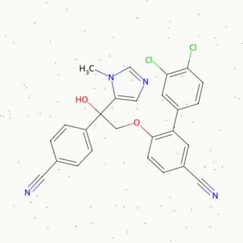 Cn1cncc1C(O)(COc1ccc(C#N)cc1-c1ccc(Cl)c(Cl)c1)c1ccc(C#N)cc1